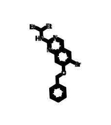 CCC(CC)Nc1ncc2cc(Br)c(OCc3ccccc3)cc2n1